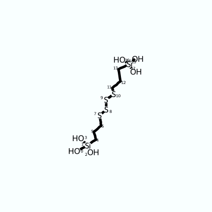 O[Si](O)(O)CCCSSSSCCC[Si](O)(O)O